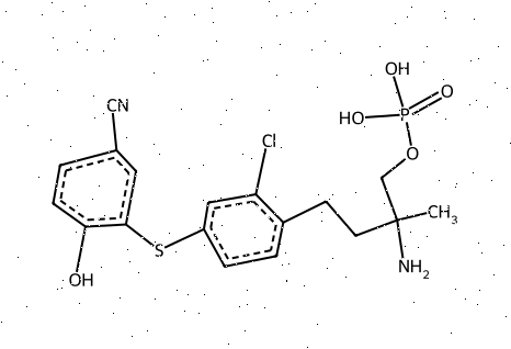 CC(N)(CCc1ccc(Sc2cc(C#N)ccc2O)cc1Cl)COP(=O)(O)O